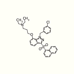 CCN(CC)CCCOc1cccc2c(S(=O)(=O)c3cccc4ccccc34)nn(Cc3cccc(Cl)c3)c12